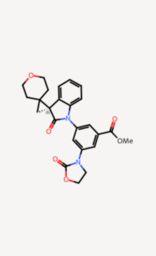 COC(=O)c1cc(N2CCOC2=O)cc(N2C(=O)[C@]3(CC34CCOCC4)c3ccccc32)c1